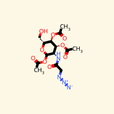 CC(=O)OC1O[C@H](CO)[C@@H](OC(C)=O)[C@H](OC(C)=O)[C@@H]1NC(=O)CN=[N+]=[N-]